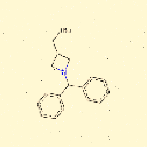 CC(C)(C)CC1CN(C(c2ccccc2)c2ccccc2)C1